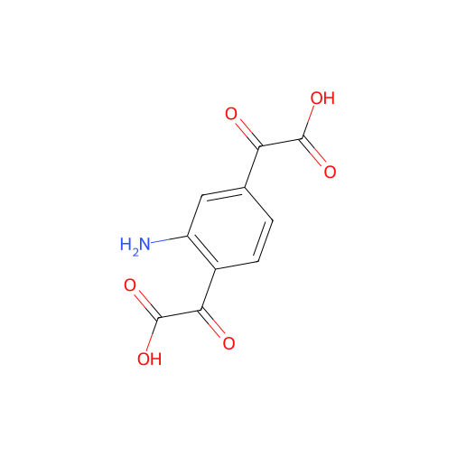 Nc1cc(C(=O)C(=O)O)ccc1C(=O)C(=O)O